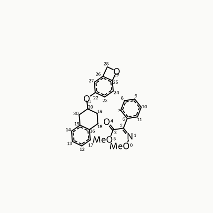 CON=C(C(=O)OC)c1ccccc1.c1ccc2c(c1)CCC(Oc1ccc3c(c1)CO3)C2